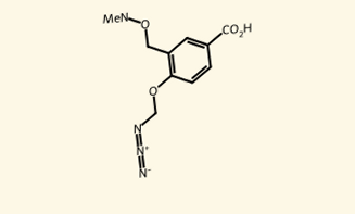 CNOCc1cc(C(=O)O)ccc1OCN=[N+]=[N-]